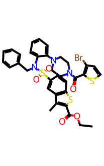 CCOC(=O)c1sc2ccc(S(=O)(=O)N(Cc3ccccc3)c3ccccc3N3CCN(C(=O)c4sccc4Br)CC3)cc2c1C